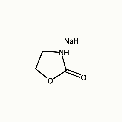 O=C1NCCO1.[NaH]